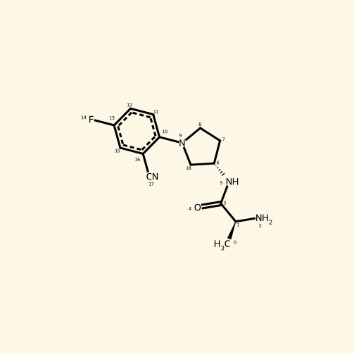 C[C@H](N)C(=O)N[C@H]1CCN(c2ccc(F)cc2C#N)C1